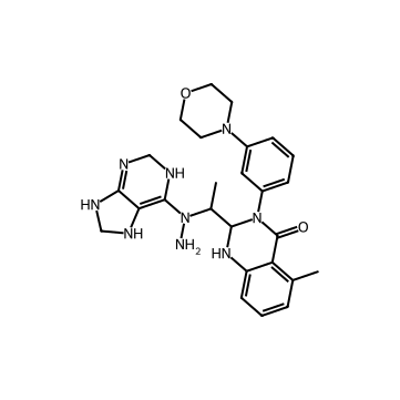 Cc1cccc2c1C(=O)N(c1cccc(N3CCOCC3)c1)C(C(C)N(N)C1=C3NCNC3=NCN1)N2